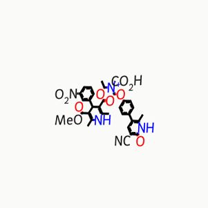 COC(=O)C1=C(C)NC(C)=C(C(=O)OC(C)[N+](=COc2ccc(-c3cc(C#N)c(=O)[nH]c3C)cc2)C(=O)O)C1c1cccc([N+](=O)[O-])c1